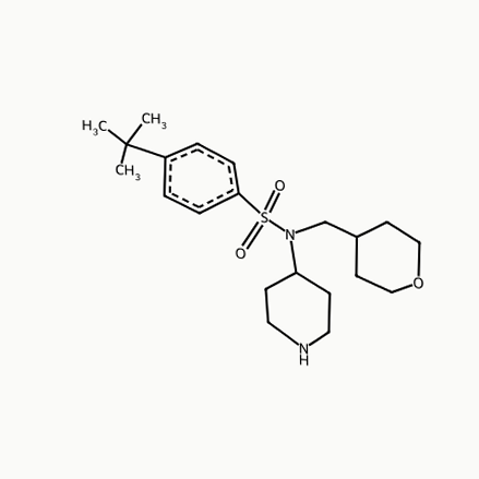 CC(C)(C)c1ccc(S(=O)(=O)N(CC2CCOCC2)C2CCNCC2)cc1